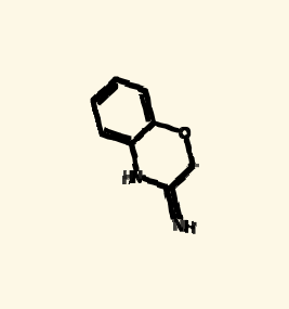 N=C1[CH]Oc2ccccc2N1